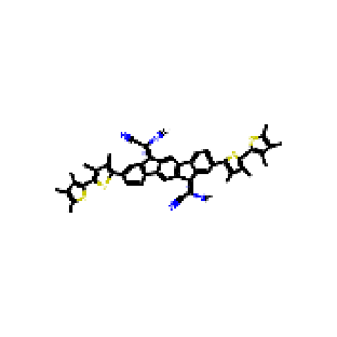 [C-]#[N+]/C(C#N)=C1/c2cc(-c3sc(-c4sc(C)c(C)c4C)c(C)c3C)ccc2-c2cc3c(cc21)-c1ccc(-c2sc(-c4sc(C)c(C)c4C)c(C)c2C)cc1/C3=C(/C#N)[N+]#[C-]